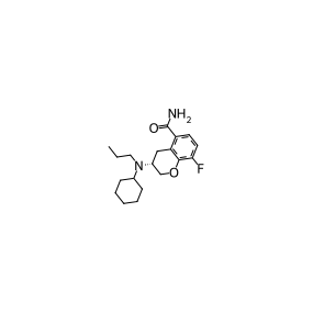 CCCN(C1CCCCC1)[C@H]1COc2c(F)ccc(C(N)=O)c2C1